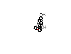 C[C@]12CCC(O)CC1CC[C@@H]1[C@H]2CC[C@]2(C)C(O)C(N3CCCCC3)(N3CCCCC3)C[C@@H]12